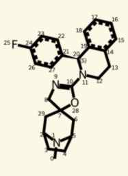 CN1C2CCC1CC1(CN=C(N3CCc4ccccc4[C@@H]3c3ccc(F)cc3)O1)C2